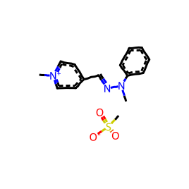 CN(N=Cc1cc[n+](C)cc1)c1ccccc1.CS(=O)(=O)[O-]